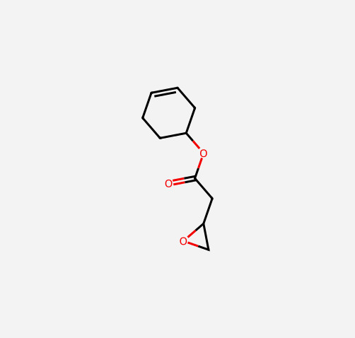 O=C(CC1CO1)OC1CC=CCC1